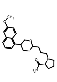 COc1ccc2c(C3COC(CCCN4CCC[C@H]4C(N)=O)OC3)cccc2c1